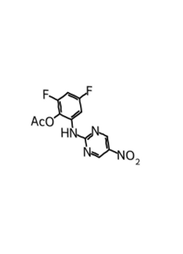 CC(=O)Oc1c(F)cc(F)cc1Nc1ncc([N+](=O)[O-])cn1